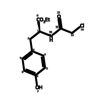 CCOC(=O)[C@H](Cc1ccc(O)cc1)NC(=O)CCl